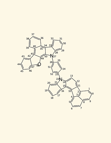 c1cc2c3c(cccc3c1)-c1c-2ccc2c1c1ccccc1n2-c1ccc(-n2c3ccccc3c3c4ccccc4c4c5ccccc5oc4c32)cc1